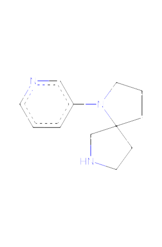 c1cncc(N2CCCC23CCNC3)c1